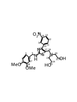 COc1ccc(CNc2nc(-c3cccc([N+](=O)[O-])c3)c(CN(CCO)CCO)s2)cc1OC